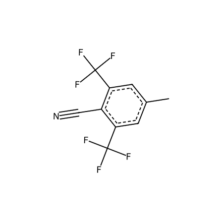 Cc1cc(C(F)(F)F)c(C#N)c(C(F)(F)F)c1